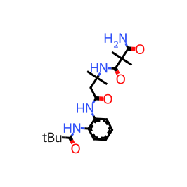 CC(C)(CC(=O)Nc1ccccc1NC(=O)C(C)(C)C)NC(=O)C(C)(C)C(N)=O